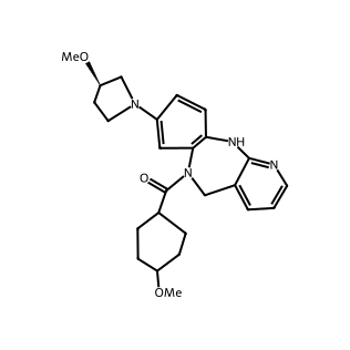 COC1CCC(C(=O)N2Cc3cccnc3Nc3ccc(N4CC[C@@H](OC)C4)cc32)CC1